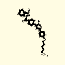 CCCCCCOc1ccc(-c2cc(-c3ccc(C(=O)n4n[n+]([O-])c5ccccc54)cc3)[nH]n2)cc1